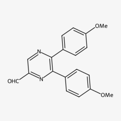 COc1ccc(-c2ncc(C=O)nc2-c2ccc(OC)cc2)cc1